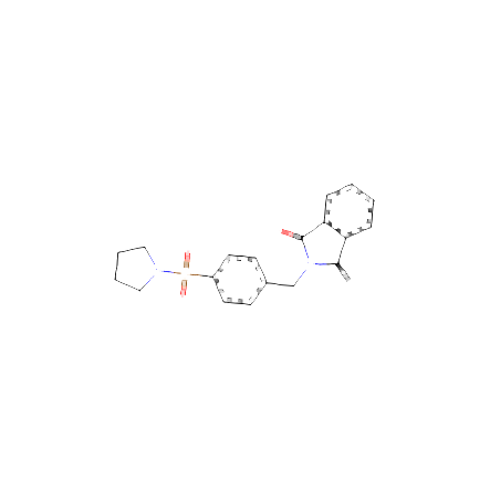 C=C1c2ccccc2C(=O)N1Cc1ccc(S(=O)(=O)N2CCCC2)cc1